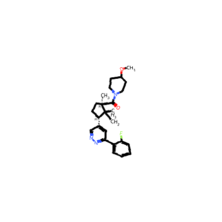 COC1CCN(C(=O)[C@]2(C)CC[C@@H](c3cnnc(-c4ccccc4F)c3)C2(C)C)CC1